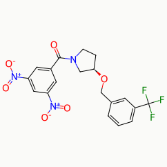 O=C(c1cc([N+](=O)[O-])cc([N+](=O)[O-])c1)N1CC[C@@H](OCc2cccc(C(F)(F)F)c2)C1